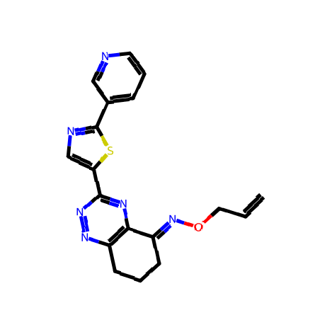 C=CCO/N=C1\CCCc2nnc(-c3cnc(-c4cccnc4)s3)nc21